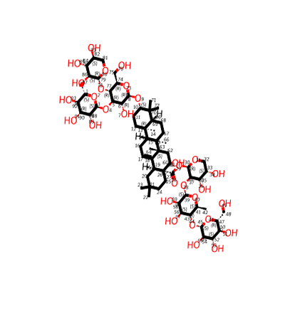 C[C@@H]1O[C@@H](O[C@@H]2[C@@H](O)[C@H](O[C@H]3CC[C@]4(C)[C@H]5CC=C6[C@@H]7CC(C)(C)CC[C@]7(C(=O)O[C@H]7OC[C@H](O)[C@H](O)[C@H]7O[C@@H]7O[C@@H](C)[C@H](O[C@@H]8O[C@H](CO)[C@@H](O)[C@H](O)[C@H]8O)[C@@H](O)[C@H]7O)[C@H](O)C[C@@]6(C)[C@]5(C)CC[C@H]4C3(C)C)O[C@H](CO)[C@H]2O[C@H]2OC[C@H](O)[C@@H](O)[C@@H]2O)[C@H](O)[C@H](O)[C@H]1O